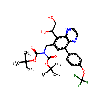 CC(C)(C)OC(=O)N(Cc1cc(-c2ccc(OC(F)(F)F)cc2)c2nccnc2c1C(O)CO)C(=O)OC(C)(C)C